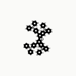 c1ccc(N(c2ccccc2)c2ccc(-c3cc4c5cc(-c6ccc(N(c7ccccc7)c7ccccc7)cc6)c6cc7c(cc6c5oc4c4cc5c6ccccc6n(-c6ccccc6)c5cc34)c3ccccc3n7-c3ccccc3)cc2)cc1